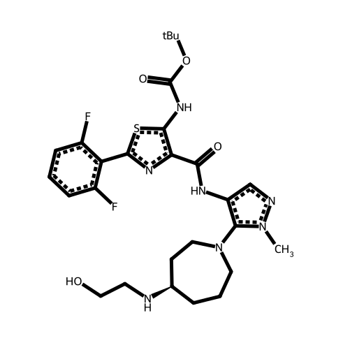 Cn1ncc(NC(=O)c2nc(-c3c(F)cccc3F)sc2NC(=O)OC(C)(C)C)c1N1CCC[C@@H](NCCO)CC1